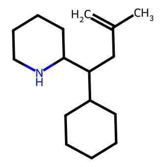 C=C(C)CC(C1CCCCC1)C1CCCCN1